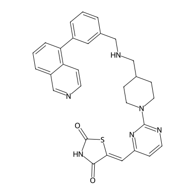 O=C1NC(=O)C(=Cc2ccnc(N3CCC(CNCc4cccc(-c5cccc6cnccc56)c4)CC3)n2)S1